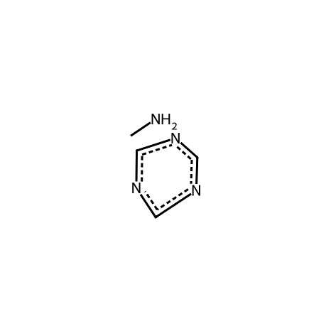 CN.c1ncncn1